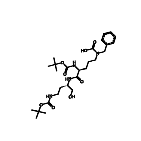 CC(C)(C)OC(=O)NCC[C@@H](CO)NC(=O)[C@H](CCCN(Cc1ccccc1)C(=O)O)NC(=O)OC(C)(C)C